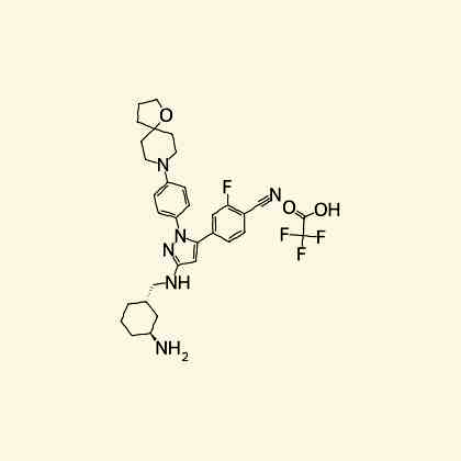 N#Cc1ccc(-c2cc(NC[C@H]3CCC[C@H](N)C3)nn2-c2ccc(N3CCC4(CCCO4)CC3)cc2)cc1F.O=C(O)C(F)(F)F